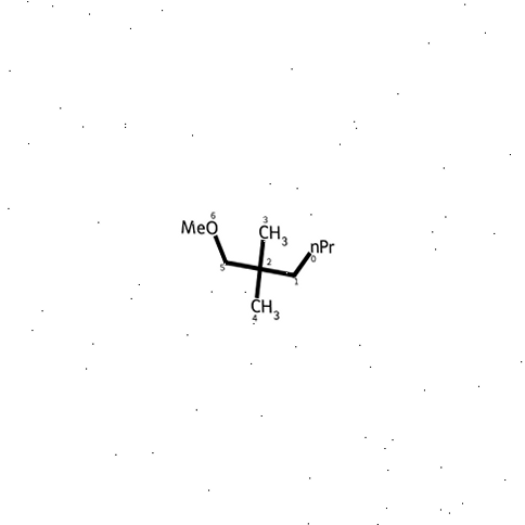 [CH2]CCCC(C)(C)COC